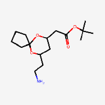 CC(C)(C)OC(=O)CC1CC(CCN)OC2(CCCC2)O1